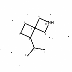 CC(C)C1CCC12CNC2